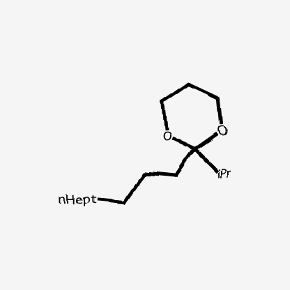 CCCCCCCCCCC1(C(C)C)OCCCO1